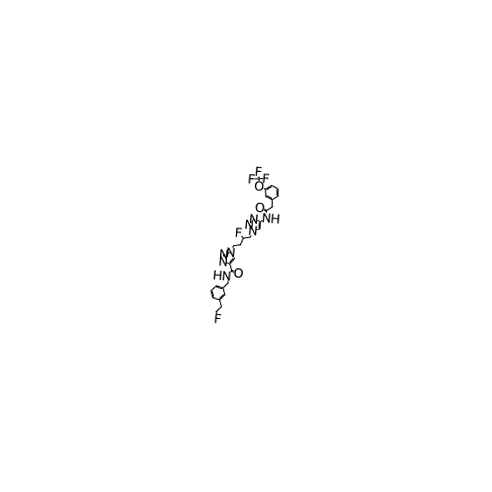 O=C(Cc1cccc(OC(F)(F)F)c1)Nc1cn(CC(F)CCn2cc(C(=O)NCc3cccc(CCF)c3)nn2)nn1